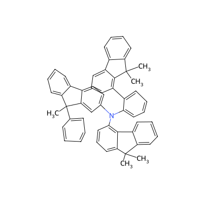 CC1(C)c2ccccc2-c2c(N(c3ccc4c(c3)C(C)(c3ccccc3)c3ccccc3-4)c3ccccc3-c3cccc4c3C(C)(C)c3ccccc3-4)cccc21